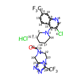 C[C@@H]1CN(c2c(Cl)cnc3cc(C(F)(F)F)ccc23)CC[C@@H]1C(=O)N1CCn2c(nnc2C(F)(F)F)C1.Cl